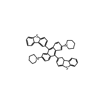 C1=C(c2c3cc(N4CCCCC4)ccc3c(-c3ccc4sc5ccccc5c4c3)c3cc(N4CCCCC4)ccc23)CC2C(=C1)Sc1ccccc12